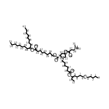 CCCCCCCCCCC(CC)OC(=O)CCCCCN1C[C@@H](OC(=O)CCN(C)C)C[C@H]1C(=O)OCCCCCCCC(=O)OC(CCCCCCCC)CCCCCCCC